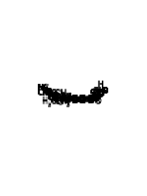 CC1(C)[C@H](NC(=O)c2ccc(N3CCN(C4CCN(c5ccc6c(c5)C(=O)N(C5CCC(=O)NC5=O)C6=O)CC4)CC3)nc2)C(C)(C)[C@H]1Oc1ccc(C#N)c(Cl)c1